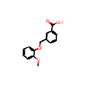 COc1ccccc1OCc1cccc(C(=O)O)c1